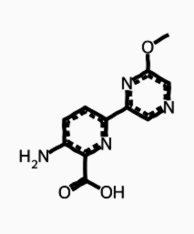 COc1cncc(-c2ccc(N)c(C(=O)O)n2)n1